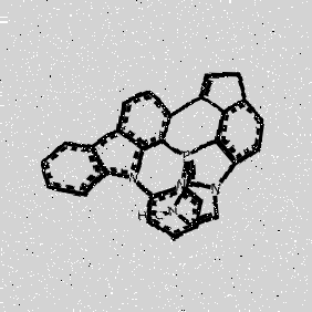 CN1C=CN2C1=P13c4c2ccc2c4C(=CC2)c2ccc4c5ccccc5n(c4c21)-c1cccc[n+]13